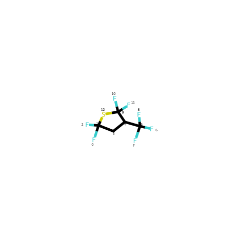 FC1(F)CC(C(F)(F)F)C(F)(F)S1